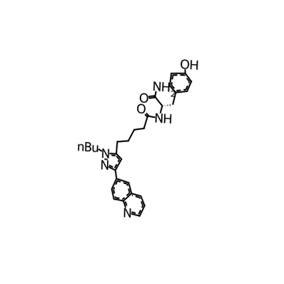 CCCCn1nc(-c2ccc3ncccc3c2)cc1CCCCC(=O)N[C@@H](Cc1ccc(O)cc1)C(N)=O